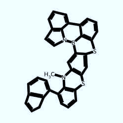 CN1c2cc3c(cc2Sc2cccc(-c4cccc5c4CC=C5)c21)Sc1cccc2c1B3n1ccc3cccc-2c31